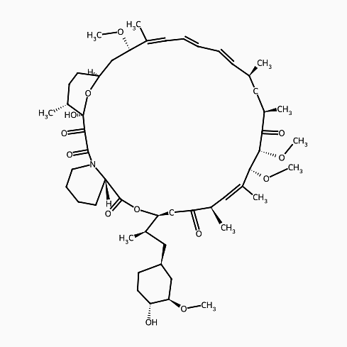 CO[C@H]1C[C@@H]2CC[C@@H](C)[C@@](O)(O2)C(=O)C(=O)N2CCCC[C@H]2C(=O)O[C@H]([C@H](C)C[C@@H]2CC[C@@H](O)[C@H](OC)C2)CC(=O)[C@H](C)/C=C(\C)[C@@H](OC)[C@@H](OC)C(=O)[C@H](C)C[C@H](C)/C=C/C=C/C=C/1C